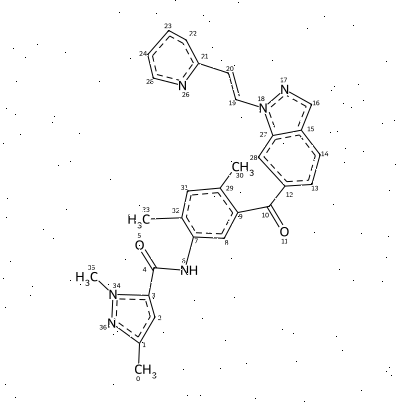 Cc1cc(C(=O)Nc2cc(C(=O)c3ccc4cnn(C=Cc5ccccn5)c4c3)c(C)cc2C)n(C)n1